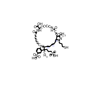 CC1=NN(CCCS)/C2=C/C=C/C=C/C3=[N+](CCCCCC(=O)NC(C(=O)O)CCCCNC(=O)CCC12C)c1ccc(S(=O)(=O)O)cc1C3(C)CCCS(=O)(=O)O